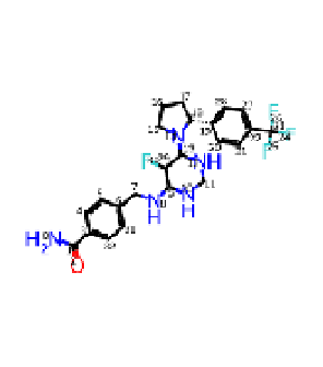 NC(=O)c1ccc(CNC2NCNC(N3CCC[C@@H]3c3ccc(C(F)(F)F)cc3)C2F)cc1